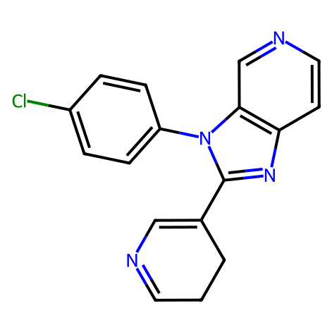 Clc1ccc(-n2c(C3=CN=CCC3)nc3ccncc32)cc1